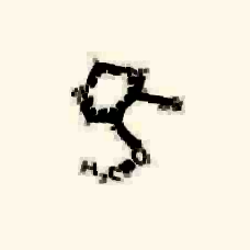 COc1cn[c]nc1Br